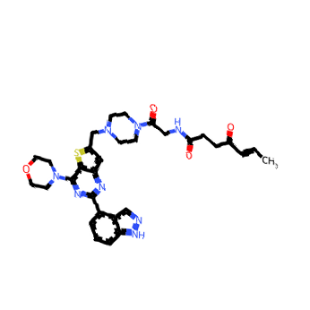 CC=CC(=O)CCC(=O)NCC(=O)N1CCN(Cc2cc3nc(-c4cccc5[nH]ncc45)nc(N4CCOCC4)c3s2)CC1